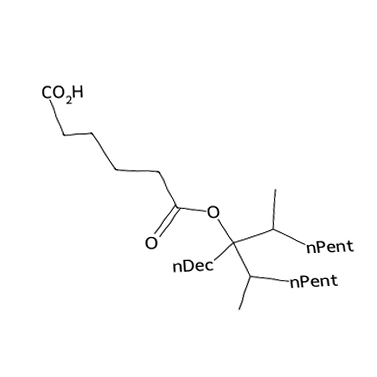 CCCCCCCCCCC(OC(=O)CCCCC(=O)O)(C(C)CCCCC)C(C)CCCCC